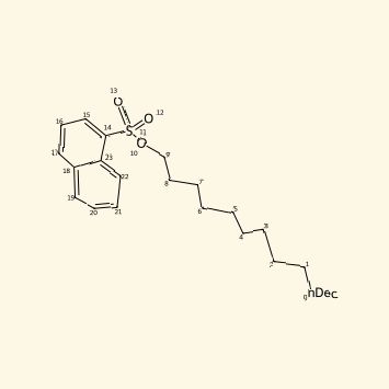 CCCCCCCCCCCCCCCCCCCOS(=O)(=O)c1cccc2ccccc12